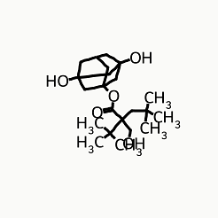 CC(C)(C)CC(CO)(C(=O)OC12CC3CC(O)(CC(O)(C3)C1)C2)C(C)(C)C